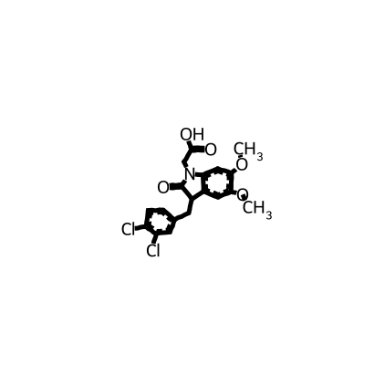 COc1cc2c(cc1OC)N(CC(=O)O)C(=O)C2Cc1ccc(Cl)c(Cl)c1